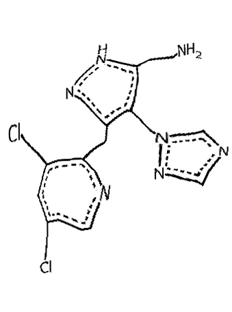 Nc1[nH]nc(-c2ncc(Cl)cc2Cl)c1-n1cncn1